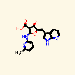 Cc1cccc(NC2=C(C(=O)O)C(=O)C(=Cc3c[nH]c4ncccc34)O2)n1